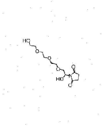 O=C1CCC(=O)N1C(O)COCCOCCOCCO